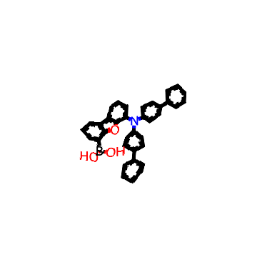 OB(O)c1cccc2c1oc1c(N(c3ccc(-c4ccccc4)cc3)c3ccc(-c4ccccc4)cc3)cccc12